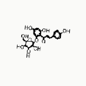 O=C(C=Cc1ccc(O)cc1)c1c(O)cc(O)cc1OC1OC(CO)C(O)C(O)C1O